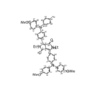 CCN1C(=O)C2=C(c3ccc(N(c4ccc(OC)cc4)c4ccc(OC)cc4)cc3)N(CC)C(=O)C2=C1c1ccc(N(c2ccc(C)cc2)c2ccc(OC)cc2)cc1